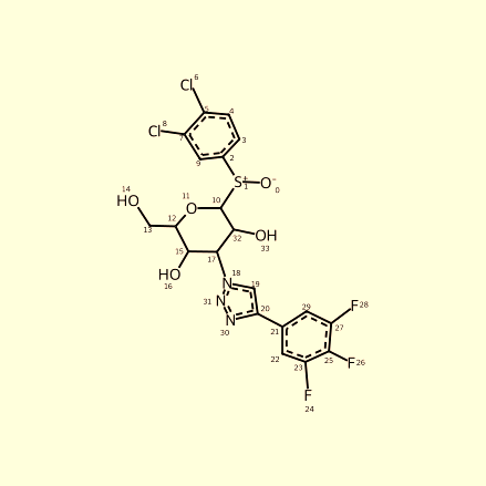 [O-][S+](c1ccc(Cl)c(Cl)c1)C1OC(CO)C(O)C(n2cc(-c3cc(F)c(F)c(F)c3)nn2)C1O